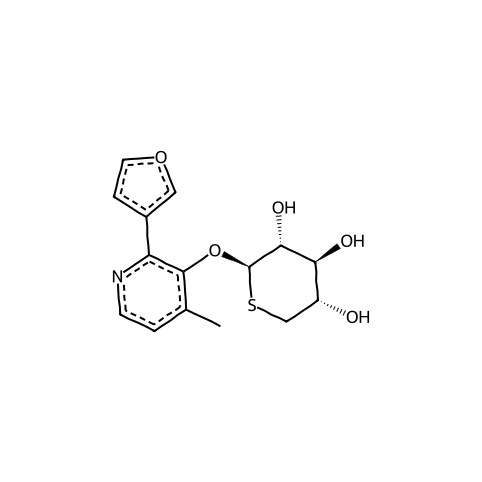 Cc1ccnc(-c2ccoc2)c1O[C@@H]1SC[C@@H](O)[C@H](O)[C@H]1O